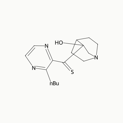 CCCCc1nccnc1C(=S)C1(O)CN2CCC1CC2